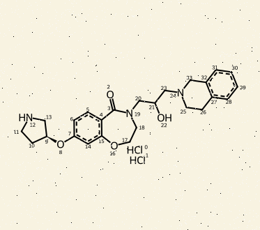 Cl.Cl.O=C1c2ccc(O[C@H]3CCNC3)cc2OCCN1CC(O)CN1CCc2ccccc2C1